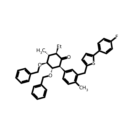 CC[C@H]1C(=O)[C@@H](c2ccc(C)c(Cc3ccc(-c4ccc(F)cc4)s3)c2)[C@H](OCc2ccccc2)[C@@H](OCc2ccccc2)[C@@H]1C